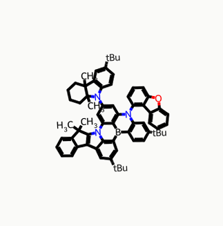 CC(C)(C)c1ccc2c(c1)N(c1cccc3oc4ccccc4c13)c1cc(N3c4ccc(C(C)(C)C)cc4C4(C)CCCCC34C)cc3c1B2c1cc(C(C)(C)C)cc2c4c(n-3c12)C(C)(C)c1ccccc1-4